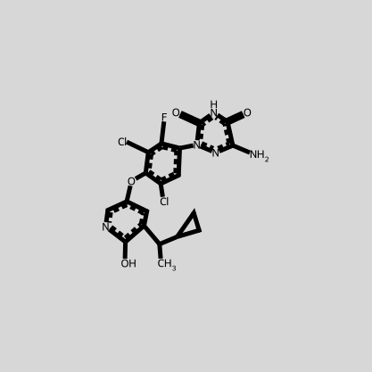 CC(c1cc(Oc2c(Cl)cc(-n3nc(N)c(=O)[nH]c3=O)c(F)c2Cl)cnc1O)C1CC1